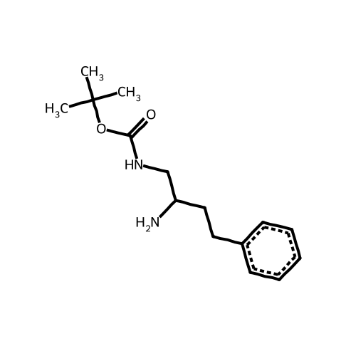 CC(C)(C)OC(=O)NCC(N)CCc1ccccc1